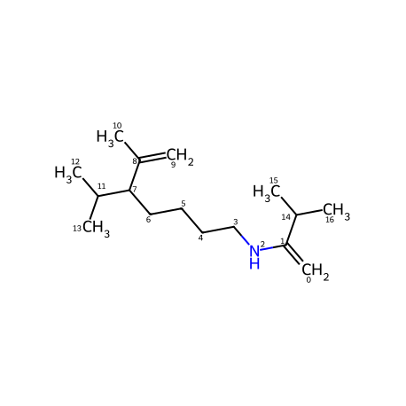 C=C(NCCCCC(C(=C)C)C(C)C)C(C)C